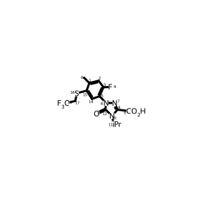 Cc1cc(F)c(-n2nc(C(=O)O)n(C(C)C)c2=O)cc1SCC(F)(F)F